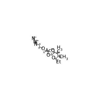 CCC1OC(OCCOCCN=[N+]=[N-])C(OC(C)=O)C(C)C1C